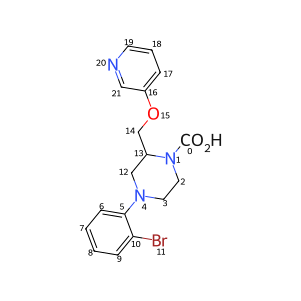 O=C(O)N1CCN(c2ccccc2Br)CC1COc1cccnc1